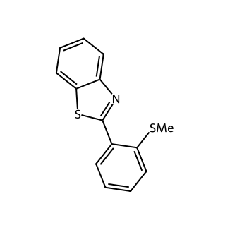 CSc1ccccc1-c1nc2ccccc2s1